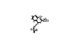 Cc1cc(C(C)(C)C)[s+]c2ccccc12.F[B-](F)(F)F